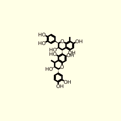 Cc1c(O)cc(O)c2c1O[C@H](c1ccc(O)c(O)c1)[C@H](O)[C@H]2c1c(O)cc2c(c1O)C(C)[C@@H](O)[C@@H](c1ccc(O)c(O)c1)O2